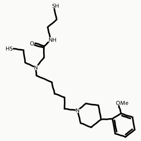 COc1ccccc1C1CCN(CCCCCN(CCS)CC(=O)NCCS)CC1